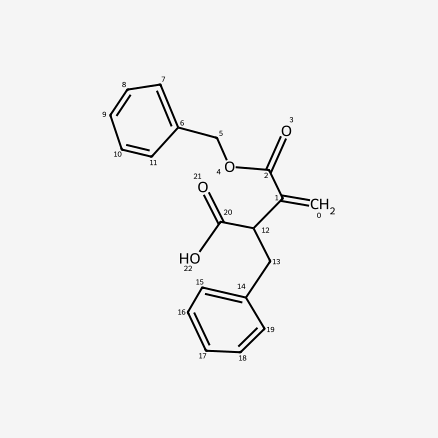 C=C(C(=O)OCc1ccccc1)C(Cc1ccccc1)C(=O)O